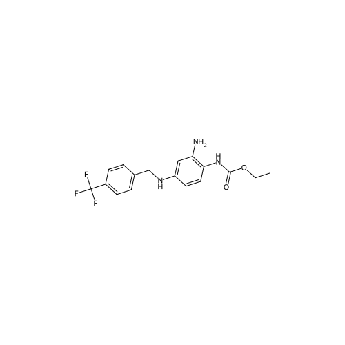 CCOC(=O)Nc1ccc(NCc2ccc(C(F)(F)F)cc2)cc1N